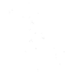 COC(=O)C(NC(=O)c1cnc(OCC(F)(F)F)c(-c2cccc(Cl)c2)n1)C(C)C